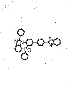 O=P1(c2ccccc2)c2cc(-c3ccc(-c4nc5ccccc5s4)cc3)ccc2-n2c(-c3ccccc3)nc3cccc1c32